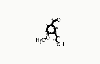 COc1ccc(C=O)cc1CCO